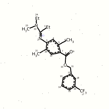 CC/C(=N\c1cc(C)c(C(=O)OCc2cccc(C(F)(F)F)c2)cc1C)N(C)CC